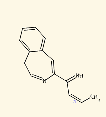 C/C=C\C(=N)C1=Cc2ccccc2CC=N1